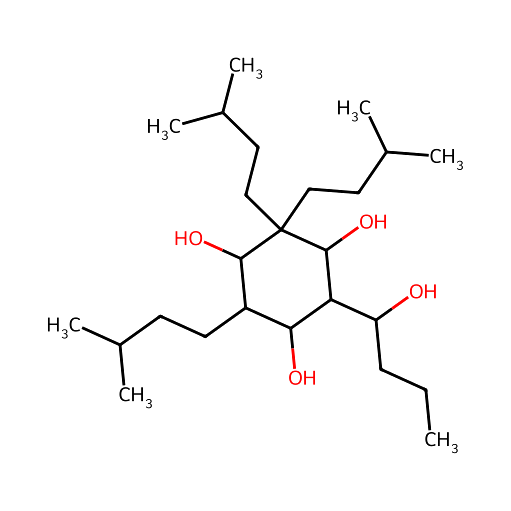 CCCC(O)C1C(O)C(CCC(C)C)C(O)C(CCC(C)C)(CCC(C)C)C1O